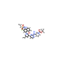 C=Cc1cnc(Oc2c(C)ccc3c(NS(=O)(=O)CCC)c(F)ccc23)c(-c2ccnc(NC3CCCN(C(=O)OC(C)(C)C)C3)n2)c1